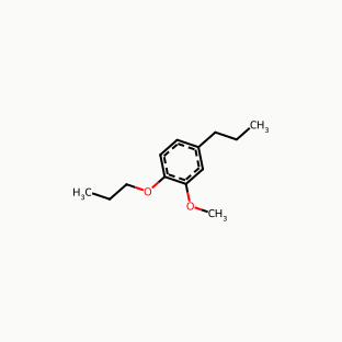 CCCOc1ccc(CCC)cc1OC